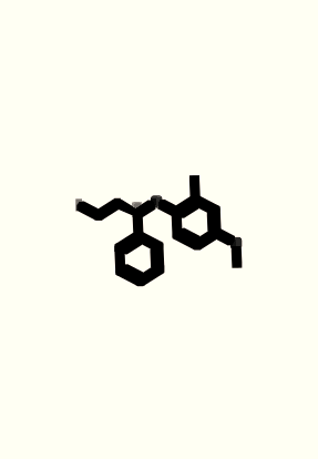 COc1ccc(O[C@H](CCI)c2ccccc2)c(C)c1